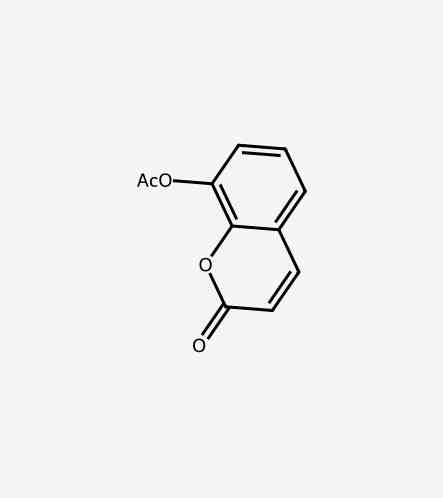 CC(=O)Oc1cccc2ccc(=O)oc12